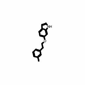 Cc1cccc(CCOc2ccc3cc[nH]c3c2)c1